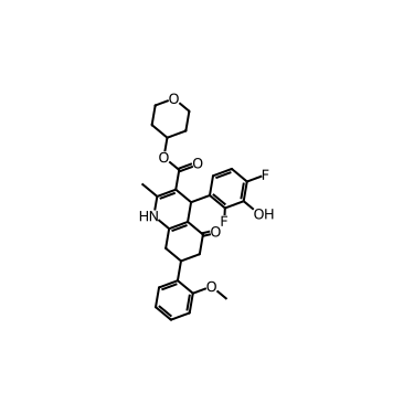 COc1ccccc1C1CC(=O)C2=C(C1)NC(C)=C(C(=O)OC1CCOCC1)C2c1ccc(F)c(O)c1F